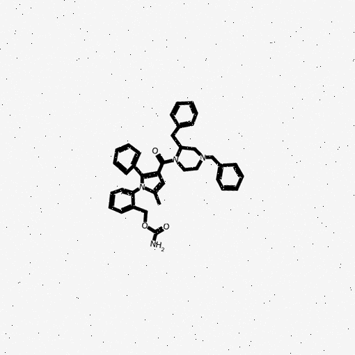 Cc1cc(C(=O)N2CCN(Cc3ccccc3)CC2Cc2ccccc2)c(-c2ccccc2)n1-c1ccccc1COC(N)=O